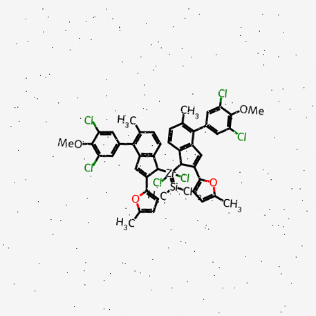 COc1c(Cl)cc(-c2c(C)ccc3c2C=C(c2ccc(C)o2)[CH]3[Zr]([Cl])([Cl])([CH]2C(c3ccc(C)o3)=Cc3c2ccc(C)c3-c2cc(Cl)c(OC)c(Cl)c2)=[Si](C)C)cc1Cl